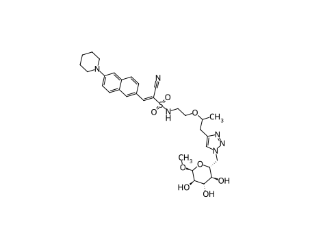 CO[C@H]1O[C@H](Cn2cc(CC(C)OCCNS(=O)(=O)/C(C#N)=C/c3ccc4cc(N5CCCCC5)ccc4c3)nn2)[C@@H](O)[C@H](O)[C@H]1O